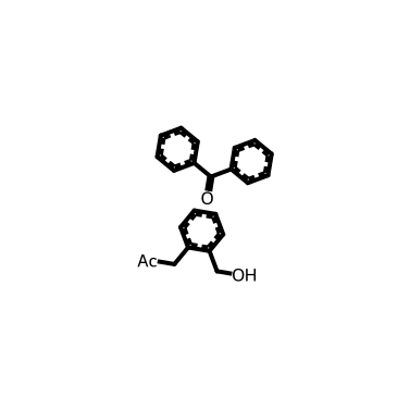 CC(=O)Cc1ccccc1CO.O=C(c1ccccc1)c1ccccc1